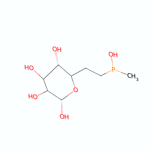 CP(O)CCC1O[C@H](O)C(O)C(O)[C@@H]1O